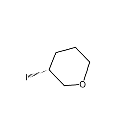 I[C@@H]1CCCOC1